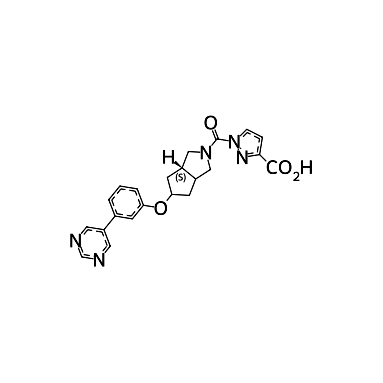 O=C(O)c1ccn(C(=O)N2CC3CC(Oc4cccc(-c5cncnc5)c4)C[C@@H]3C2)n1